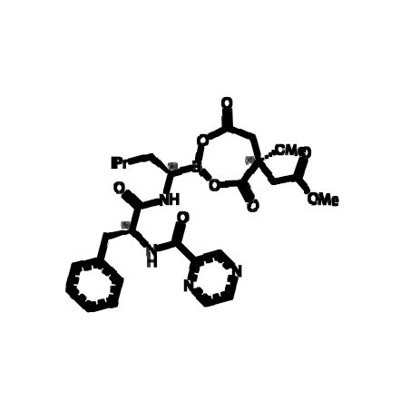 COC(=O)C[C@]1(OC)CC(=O)OB([C@H](CC(C)C)NC(=O)[C@H](Cc2ccccc2)NC(=O)c2cnccn2)OC1=O